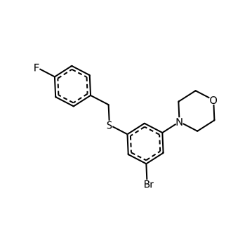 Fc1ccc(CSc2cc(Br)cc(N3CCOCC3)c2)cc1